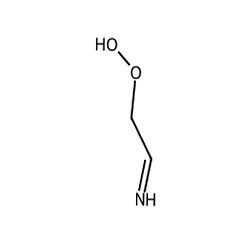 N=CCOO